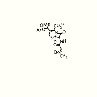 COC(OC(C)=O)C1=C(C(=O)O)N2C(=O)[C@H](NC(=O)C[S+](C)[O-])[C@H]2SC1